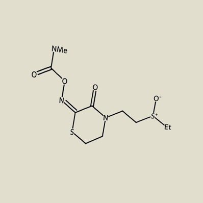 CC[S+]([O-])CCN1CCSC(=NOC(=O)NC)C1=O